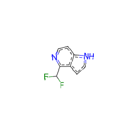 FC(F)c1nccc2[nH]ccc12